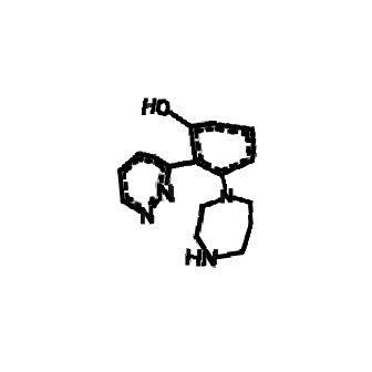 Oc1cccc(N2CCCNCC2)c1-c1cccnn1